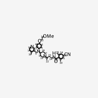 COCCOc1ccc(N(Cc2cnccc2C)C2CCN(C(C)CCNC(=O)c3c(C)cc(C#N)cc3C)CC2)cc1